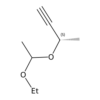 C#C[C@H](C)OC(C)OCC